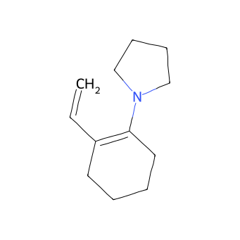 C=CC1=C(N2CCCC2)CCCC1